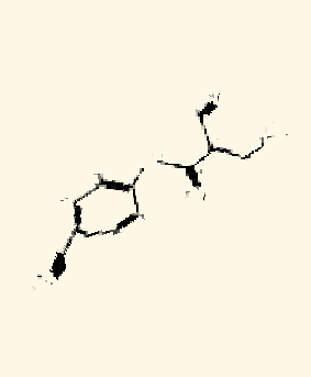 CCC(C=O)C(=O)Oc1ccc(C#N)cc1